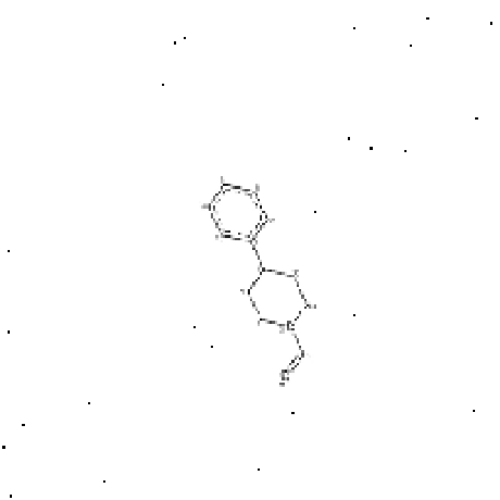 O=CB1CCC(c2ccccc2)CC1